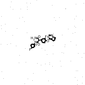 NC(=O)C(C(=O)Nc1ccc(F)cc1)c1ccc(Oc2ncnn3cccc23)c(F)c1